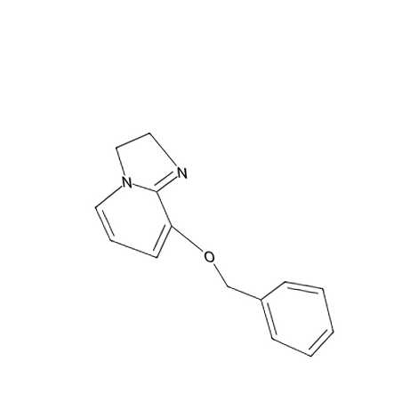 C1=CN2CCN=C2C(OCc2ccccc2)=C1